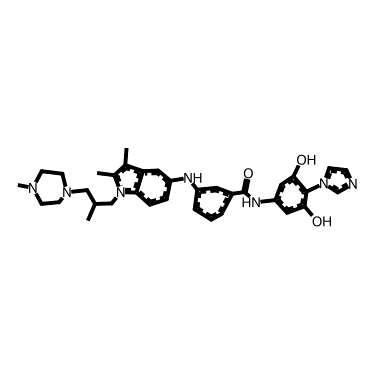 Cc1c(C)n(CC(C)CN2CCN(C)CC2)c2ccc(Nc3cccc(C(=O)Nc4cc(O)c(-n5ccnc5)c(O)c4)c3)cc12